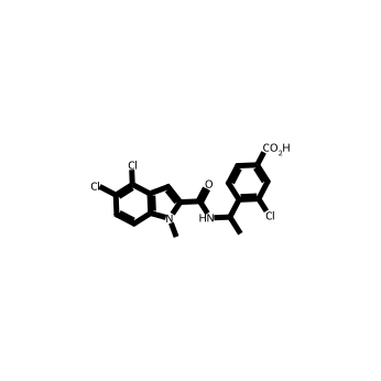 CC(NC(=O)c1cc2c(Cl)c(Cl)ccc2n1C)c1ccc(C(=O)O)cc1Cl